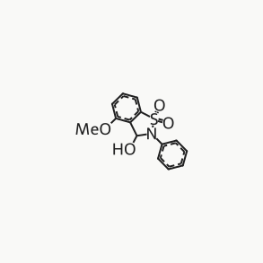 COc1cccc2c1C(O)N(c1ccccc1)S2(=O)=O